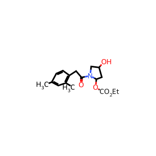 CCOC(=O)OC1CC(O)CN1C(=O)Cc1ccc(C)cc1C